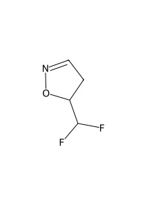 FC(F)C1CC=NO1